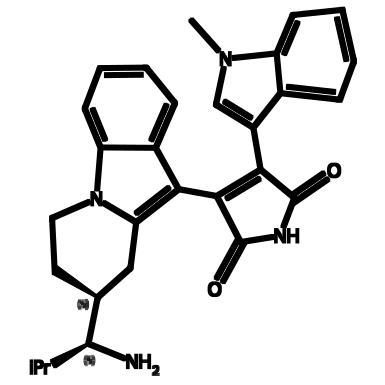 CC(C)[C@H](N)[C@H]1CCn2c(c(C3=C(c4cn(C)c5ccccc45)C(=O)NC3=O)c3ccccc32)C1